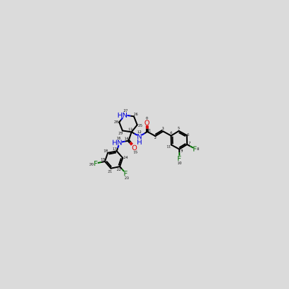 O=C(C=Cc1ccc(F)c(F)c1)NC1(C(=O)Nc2cc(F)cc(F)c2)CCNCC1